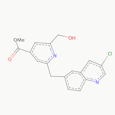 COC(=O)c1cc(CO)nc(Cc2ccc3ncc(Cl)cc3c2)c1